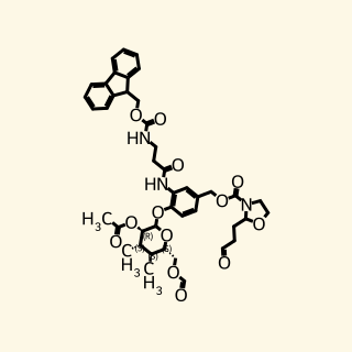 CC(=O)O[C@H]1C(Oc2ccc(COC(=O)N3CCOC3CCC=O)cc2NC(=O)CCNC(=O)OCC2c3ccccc3-c3ccccc32)O[C@H](COC=O)[C@@H](C)[C@@H]1C